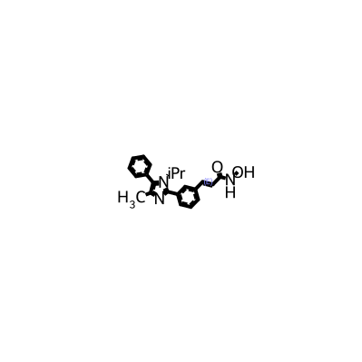 Cc1nc(-c2cccc(/C=C/C(=O)NO)c2)n(C(C)C)c1-c1ccccc1